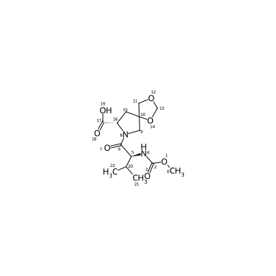 COC(=O)N[C@H](C(=O)N1CC2(COCO2)C[C@H]1C(=O)O)C(C)C